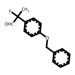 CC(F)(C=O)c1ccc(OCc2ccccc2)cc1